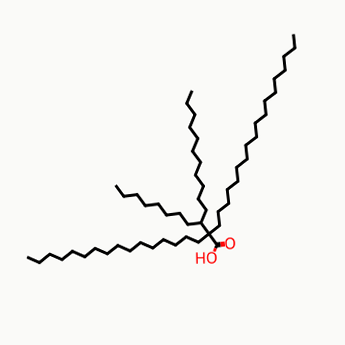 CCCCCCCCCCCCCCCCCCC(CCCCCCCCCCCCCCCC)(C(=O)O)C(CCCCCCCC)CCCCCCCCCCC